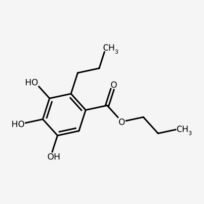 CCCOC(=O)c1cc(O)c(O)c(O)c1CCC